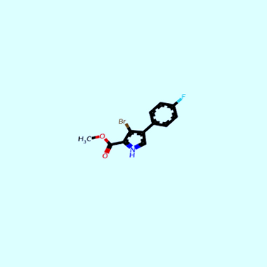 COC(=O)c1[nH]cc(-c2ccc(F)cc2)c1Br